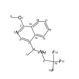 COc1ncc(C(C)NCC(F)(F)F)c2ccccc12